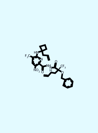 C=CCC[C@@](OCc1ccccc1)(C(=O)NNC(=O)c1nc(NC2(CC=C)CCC2)c(C(F)(F)F)cc1[N+](=O)[O-])C(F)(F)F